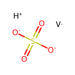 O=S(=O)([O-])[O-].[H+].[V]